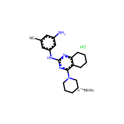 CC(=O)N[C@@H]1CCCN(c2nc(Nc3cc(N)cc(C#N)c3)nc3c2CCCC3)C1.Cl